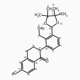 CC(=O)OCc1c(B2OC(C)(C)C(C)(C)O2)cccc1N1CCc2cc(C(C)C)ccc2C1=O